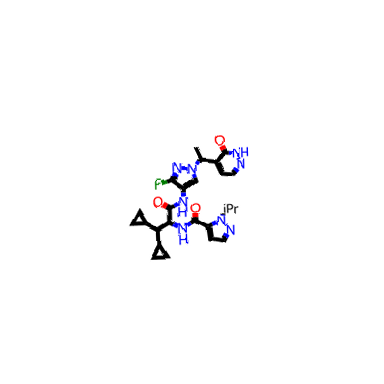 CC(c1ccn[nH]c1=O)n1cc(NC(=O)C(NC(=O)c2ccnn2C(C)C)C(C2CC2)C2CC2)c(F)n1